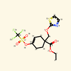 CCOC(=O)C1(COc2nccs2)CC=C(OS(=O)(=O)C(F)(F)F)CC1